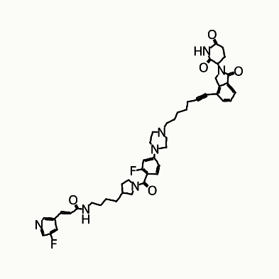 O=C(/C=C/c1cncc(F)c1)NCCCCC1CCN(C(=O)c2ccc(N3CCN(CCCCCC#Cc4cccc5c4CN(C4CCC(=O)NC4=O)C5=O)CC3)cc2F)C1